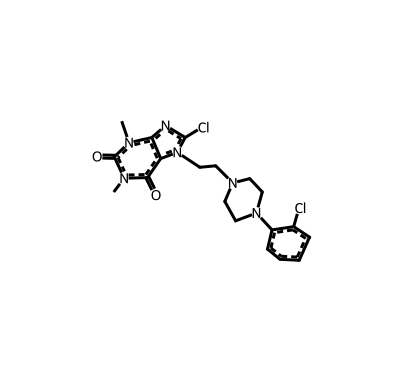 Cn1c(=O)c2c(nc(Cl)n2CCN2CCN(c3ccccc3Cl)CC2)n(C)c1=O